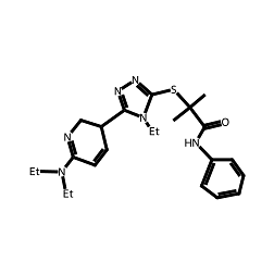 CCN(CC)C1=NCC(c2nnc(SC(C)(C)C(=O)Nc3ccccc3)n2CC)C=C1